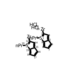 CCCS1=[C]([Zr])C=C2C=CC=C21.CCCS1=[C]([Zr])C=C2C=CC=C21.Cl.Cl